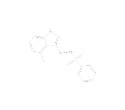 O=S(=O)(NNc1n[nH]c2cccc(F)c12)c1ccccc1